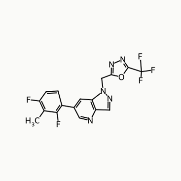 Cc1c(F)ccc(-c2cnc3cnn(Cc4nnc(C(F)(F)F)o4)c3c2)c1F